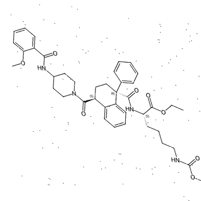 CCOC(=O)[C@H](CCCCNC(=O)OC(C)(C)C)NC(=O)[C@@]1(c2ccccc2)CC[C@H](C(=O)N2CCC(NC(=O)c3ccccc3OC)CC2)c2ccccc21